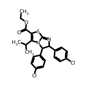 CCOC(=O)C1=C(C(C)C)N2C(=NC(c3ccc(Cl)cc3)C2c2ccc(Cl)cc2)S1